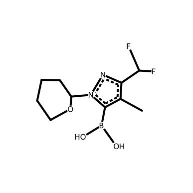 Cc1c(C(F)F)nn(C2CCCCO2)c1B(O)O